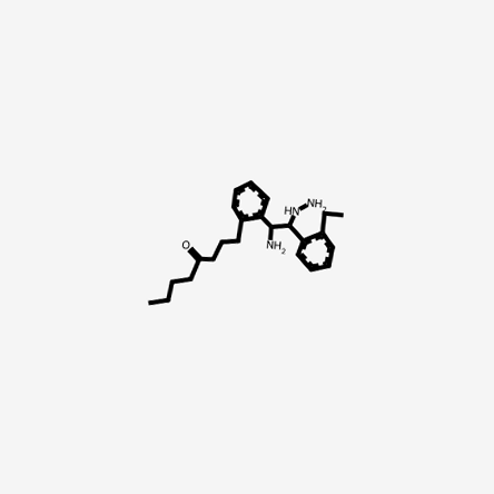 CCCCC(=O)CCCc1ccccc1C(N)C(NN)c1ccccc1CC